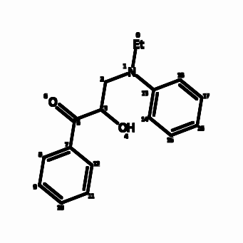 CCN(CC(O)C(=O)c1ccccc1)c1ccccc1